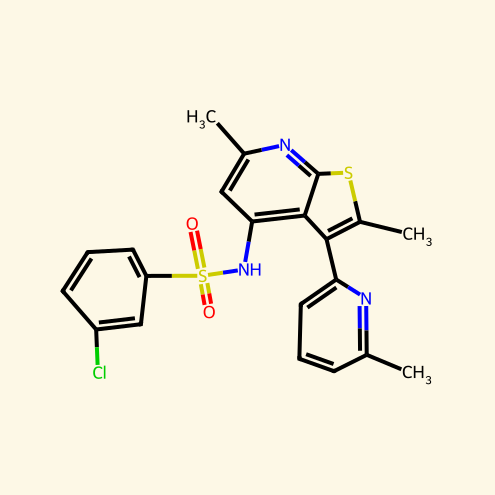 Cc1cccc(-c2c(C)sc3nc(C)cc(NS(=O)(=O)c4cccc(Cl)c4)c23)n1